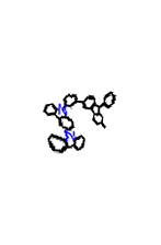 C=C1C=CC2=C(C1)C(c1ccccc1)c1ccc(-c3cccc(-n4c5ccccc5c5cc(-n6c7ccccc7c7ccccc76)ccc54)c3)cc12